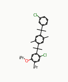 Cc1cc(C(C)(C)c2cc(OC(C)C)c(C(C)C)cc2Cl)c(C)cc1C(C)(C)c1cccc(Cl)c1